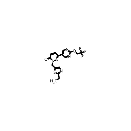 CCc1ncc(Cn2nc(-c3cnc(OCC(F)(F)F)nc3)ccc2=O)s1